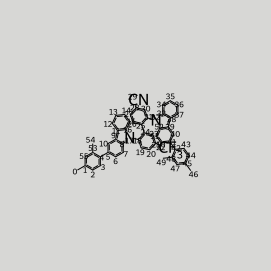 Cc1ccc(-c2ccc3c(c2)c2ccccc2n3-c2ccc(C(F)(F)F)cc2-c2ccc(C#N)cc2-n2c3ccccc3c3cc(-c4ccc(C)cc4C)ccc32)c(C)c1